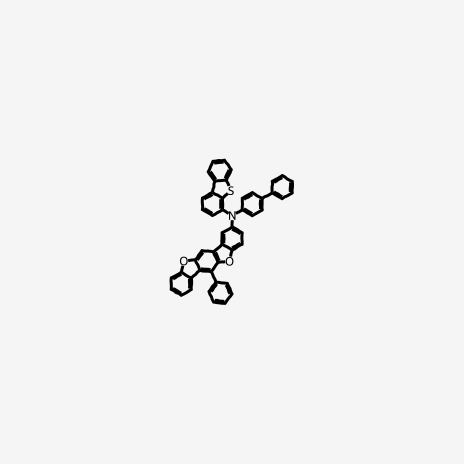 c1ccc(-c2ccc(N(c3ccc4oc5c(-c6ccccc6)c6c(cc5c4c3)oc3ccccc36)c3cccc4c3sc3ccccc34)cc2)cc1